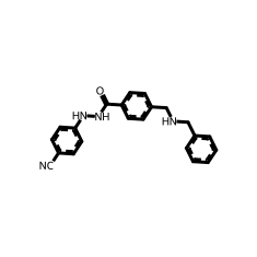 N#Cc1ccc(NNC(=O)c2ccc(CNCc3ccccc3)cc2)cc1